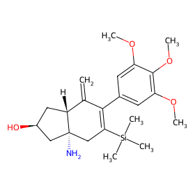 C=C1C(c2cc(OC)c(OC)c(OC)c2)=C([Si](C)(C)C)C[C@@]2(N)C[C@@H](O)C[C@H]12